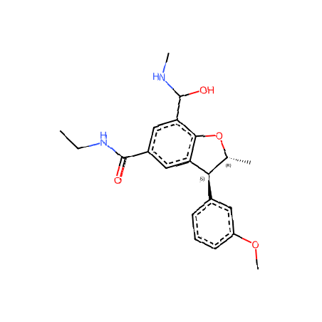 CCNC(=O)c1cc(C(O)NC)c2c(c1)[C@H](c1cccc(OC)c1)[C@@H](C)O2